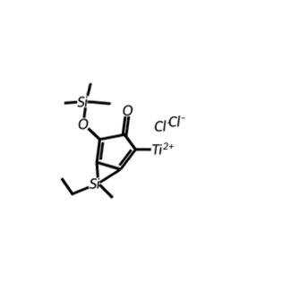 CC[Si]1(C)C2=[C]([Ti+2])C(=O)C(O[Si](C)(C)C)=C21.[Cl-].[Cl-]